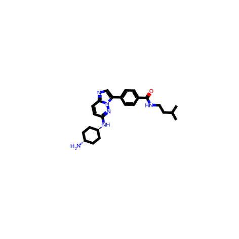 CC(C)CCNC(=O)c1ccc(-c2cnc3ccc(N[C@H]4CC[C@@H](N)CC4)nn23)cc1